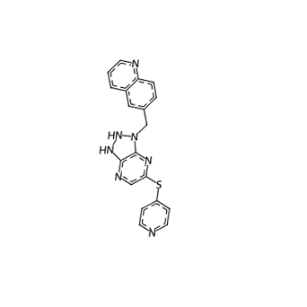 c1cnc2ccc(CN3NNc4ncc(Sc5ccncc5)nc43)cc2c1